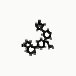 NCC1(c2cccc(-c3cn[nH]c3)c2)CCN(c2ncnc3[nH]ccc23)CC1